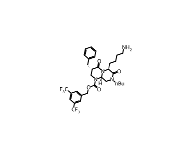 CCCCN1C[C@@H]2N(C(=O)OCc3cc(C(F)(F)F)cc(C(F)(F)F)c3)C[C@H](Cc3ccccc3)C(=O)N2[C@@H](CCCCN)C1=O